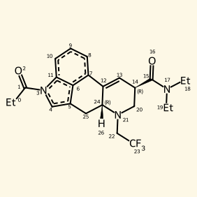 CCC(=O)n1cc2c3c(cccc31)C1=C[C@@H](C(=O)N(CC)CC)CN(CC(F)(F)F)[C@@H]1C2